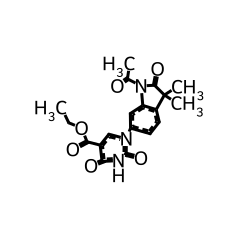 CCOC(=O)c1cn(-c2ccc3c(c2)N(C(C)=O)C(=O)C3(C)C)c(=O)[nH]c1=O